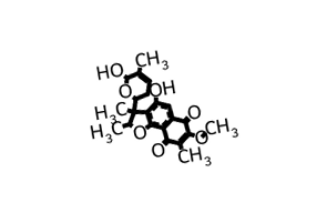 COC1=C(C)C(=O)c2c(cc(O)c3c2OC(C)C3(C)C2CC=C(C)C(O)O2)C1=O